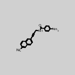 N#Cc1ccc2cc(C#CCNC(=O)c3ccc(N)cc3)ccc2c1